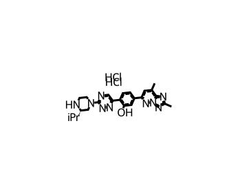 Cc1nc2c(C)cc(-c3ccc(-c4cnc(N5CCN[C@@H](C(C)C)C5)nn4)c(O)c3)nn2n1.Cl.Cl